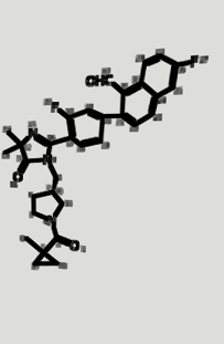 CC1(C(=O)N2CC[C@@H](CN3C(=O)C(C)(C)N=C3c3ccc(-c4ccc5cc(F)ccc5c4C=O)cc3F)C2)CC1